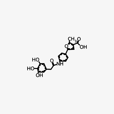 Cc1oc(-c2ccc(NC(=O)Cc3cc(O)c(O)c(O)c3)cc2)cc1C(=O)O